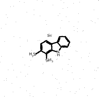 [SiH3]c1ccc2c([nH]c3ccccc32)c1[SiH3].[Sn]